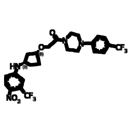 O=C(CO[C@@H]1CC[C@@H](Nc2ccc([N+](=O)[O-])c(C(F)(F)F)c2)C1)N1CCN(c2ccc(C(F)(F)F)cc2)CC1